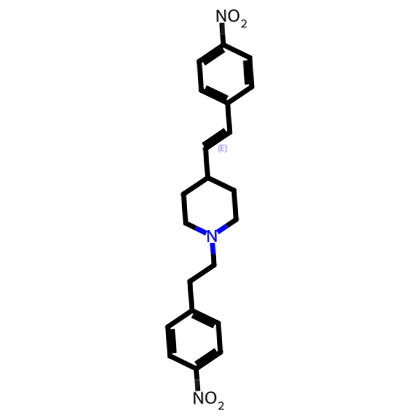 O=[N+]([O-])c1ccc(/C=C/C2CCN(CCc3ccc([N+](=O)[O-])cc3)CC2)cc1